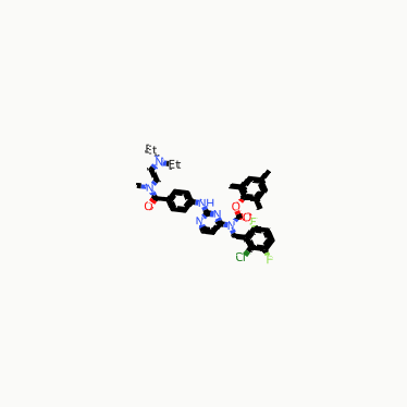 CCN(CC)CCN(C)C(=O)c1ccc(Nc2nccc(N(Cc3c(F)ccc(F)c3Cl)C(=O)Oc3c(C)cc(C)cc3C)n2)cc1